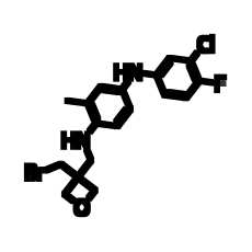 Cc1cc(Nc2ccc(F)c(Cl)c2)ccc1NCC1(CBr)COC1